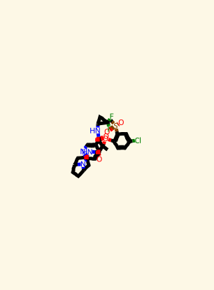 CC(C)(Oc1ccc(Cl)cc1S(C)(=O)=O)C(=O)NC1CC2CCC(C1)N2c1ccc(C(=O)NC2CC2(F)F)cn1